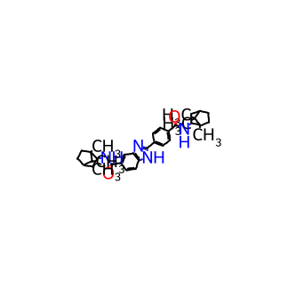 CC1(C)C2CCC1(C)C(NC(=O)c1ccc(-c3nc4cc(C(=O)NC5CC6CCC5(C)C6(C)C)ccc4[nH]3)cc1)C2